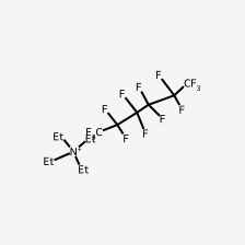 CC[N+](CC)(CC)CC.FC(F)(F)C(F)(F)C(F)(F)C(F)(F)C(F)(F)C(F)(F)F